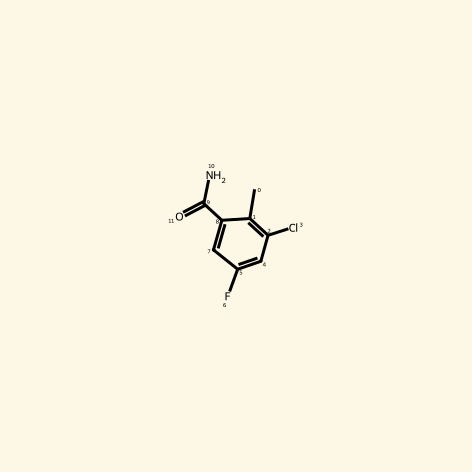 Cc1c(Cl)cc(F)cc1C(N)=O